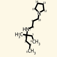 CCCC(C)(CC)NCCCN1CCCC1